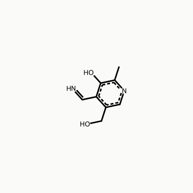 Cc1ncc(CO)c(C=N)c1O